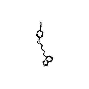 N#Cc1ccc(OCCCCc2cccc3cncn23)cc1